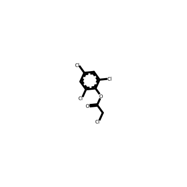 O=C(CCl)Oc1c(Cl)cc(Cl)cc1Cl